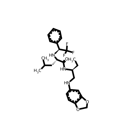 CC[C@@H](CNc1ccc2c(c1)OCO2)NC(=O)[C@H](CC(C)C)N[C@@H](c1ccccc1)C(F)(F)F